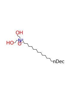 CCCCCCCCCCCCCCCCCCCCCCCC[N+]([O-])(CCO)CCO